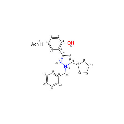 CC(=O)Nc1ccc(O)c(-c2cc(C3CCCC3)n(Cc3ccccc3)n2)c1